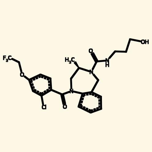 C[C@@H]1CN(C(=O)c2ccc(OCC(F)(F)F)cc2Cl)c2ccccc2CN1C(=O)NCCCO